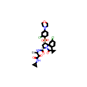 CCC(NC(=O)[C@@H]1C[C@@H](S(=O)(=O)c2ccc(N3CCOCC3)cc2Cl)CN1C(=O)C1(c2ccc(Cl)cc2)CC1)C(=O)C(=O)NC1CC1